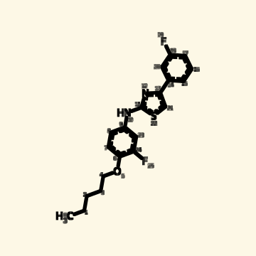 CCCCCOc1ccc(Nc2nc(-c3cccc(F)c3)cs2)cc1F